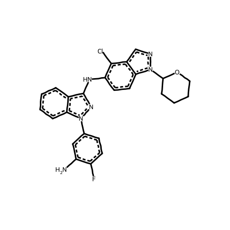 Nc1cc(-n2nc(Nc3ccc4c(cnn4C4CCCCO4)c3Cl)c3ccccc32)ccc1F